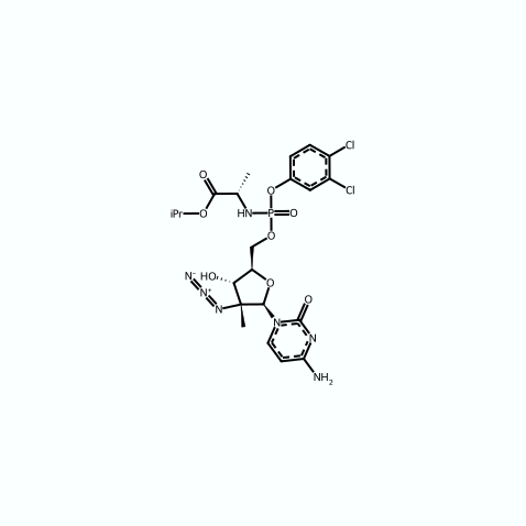 CC(C)OC(=O)[C@H](C)NP(=O)(OC[C@H]1O[C@@H](n2ccc(N)nc2=O)[C@](C)(N=[N+]=[N-])[C@@H]1O)Oc1ccc(Cl)c(Cl)c1